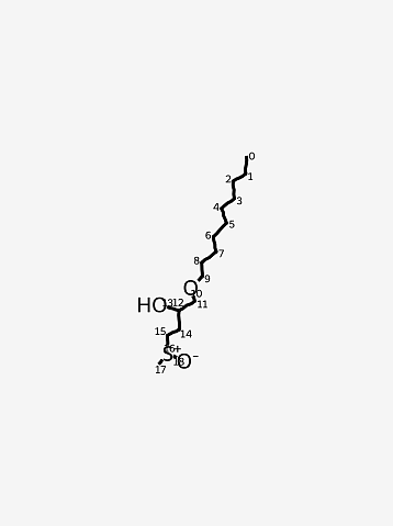 CCCCCCCCCCOCC(O)CC[S+](C)[O-]